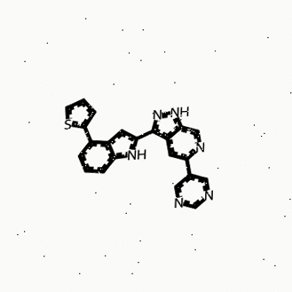 c1csc(-c2cccc3[nH]c(-c4n[nH]c5cnc(-c6cncnc6)cc45)cc23)c1